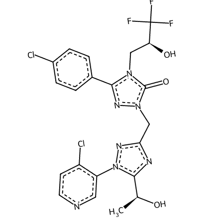 C[C@H](O)c1nc(Cn2nc(-c3ccc(Cl)cc3)n(C[C@H](O)C(F)(F)F)c2=O)nn1-c1cnccc1Cl